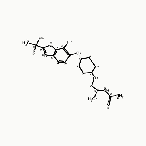 C[C@@H](CO[C@H]1CC[C@H](Oc2ccc3nc(C(C)(F)F)sc3c2F)CC1)NC(N)=O